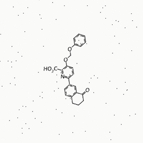 O=C1CCCc2ccc(-c3ccc(OCOc4ccccc4)c(C(=O)O)n3)cc21